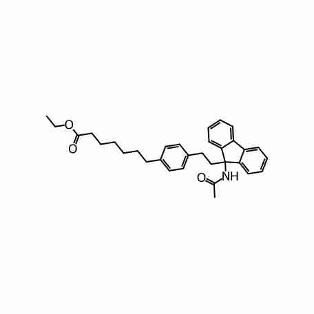 CCOC(=O)CCCCCCc1ccc(CCC2(NC(C)=O)c3ccccc3-c3ccccc32)cc1